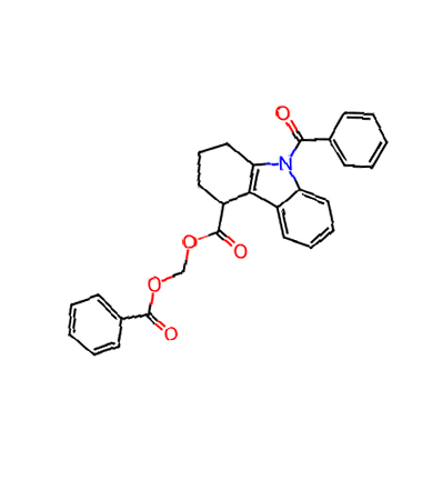 O=C(OCOC(=O)C1CCCc2c1c1ccccc1n2C(=O)c1ccccc1)c1ccccc1